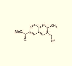 COC(=O)c1ccc2nc(C)c(CC(C)C)cc2c1